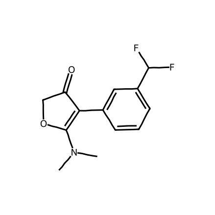 CN(C)C1=C(c2cccc(C(F)F)c2)C(=O)CO1